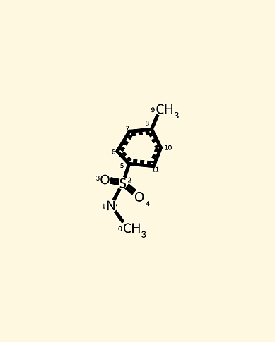 C[N]S(=O)(=O)c1ccc(C)cc1